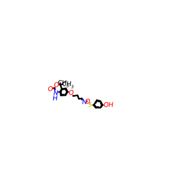 CC1(C)OC(=O)Nc2ccc(OCCCC=NOSc3ccc(O)cc3)cc21